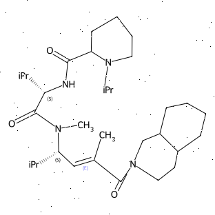 C/C(=C\[C@H](C(C)C)N(C)C(=O)[C@@H](NC(=O)C1CCCCN1C(C)C)C(C)C)C(=O)N1CCC2CCCCC2C1